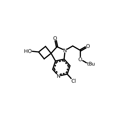 CC(C)(C)OC(=O)CN1C(=O)C2(CC(O)C2)c2cnc(Cl)cc21